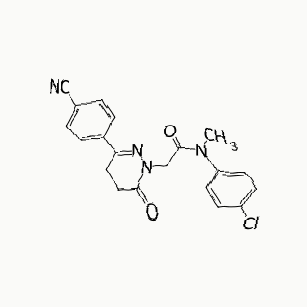 CN(C(=O)CN1N=C(c2ccc(C#N)cc2)CCC1=O)c1ccc(Cl)cc1